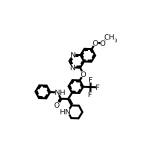 COOc1ccc2c(Oc3ccc(/C(C(=O)Nc4ccccc4)=C4\CCCCN4)cc3C(F)(F)F)ncnc2c1